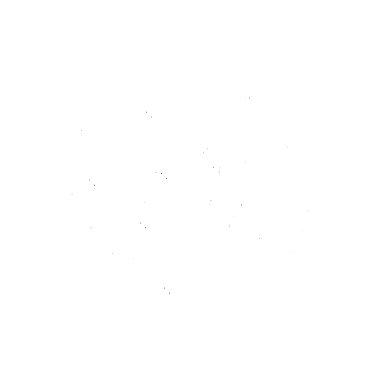 CC(C)OC(=O)C1CN(c2c(C#N)c(=O)n(C)c3ccc(C#N)nc23)CCN1C(c1ccc(F)cc1)c1ccc(F)cc1